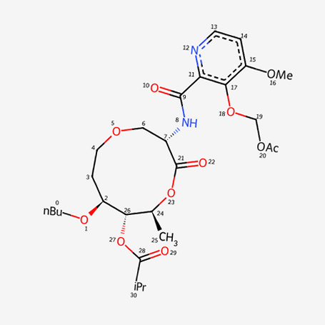 CCCCO[C@H]1CCOC[C@H](NC(=O)c2nccc(OC)c2OCOC(C)=O)C(=O)O[C@@H](C)[C@@H]1OC(=O)C(C)C